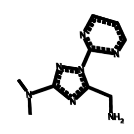 CN(C)c1nc(CN)n(-c2ncccn2)n1